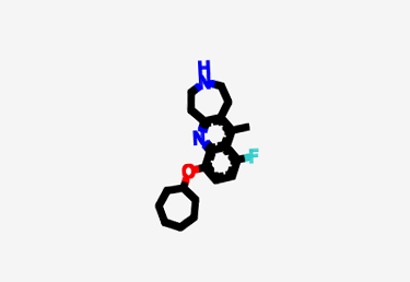 Cc1c2c(nc3c(OC4CCCCCC4)ccc(F)c13)CCNCC2